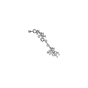 CC(C)(C)OC(=O)NCCOCCOc1cccc(NC(=O)Nc2nc3ccc(C#N)cc3s2)c1